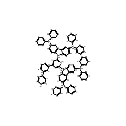 c1ccc(N(c2ccccc2)c2ccc3c(c2)c2cc(N(c4ccccc4)c4ccccc4)ccc2n3-c2cc(-c3cccc(-c4ccncc4)c3)cc(-n3c4ccc(N(c5ccccc5)c5ccccc5)cc4c4cc(N(c5ccccc5)c5ccccc5)ccc43)n2)cc1